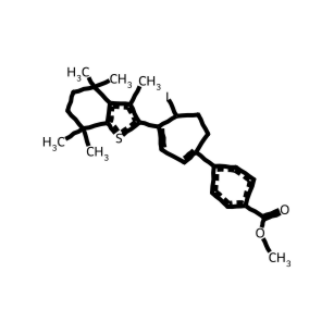 COC(=O)c1ccc(C2=CC=C(c3sc4c(c3C)C(C)(C)CCC4(C)C)C(I)CC2)cc1